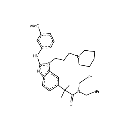 COc1cccc(Nc2nc3ccc(C(C)(C)C(=O)N(CC(C)C)CC(C)C)cc3n2CCCN2CCCCC2)c1